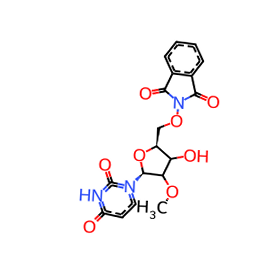 COC1C(O)[C@H](CON2C(=O)c3ccccc3C2=O)O[C@@H]1n1ccc(=O)[nH]c1=O